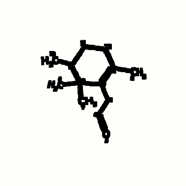 CC1=C(CC=O)C(C)(C)C(C)CC1